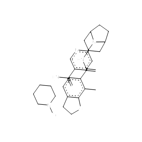 CCN1CCC[C@H](NC(=O)c2ccc(N3C4CCC3CC(NC(=O)c3ccc5c(c3C)OCC5)C4)nc2)C1